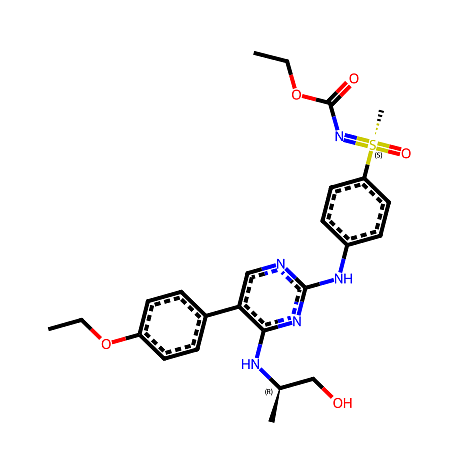 CCOC(=O)N=[S@@](C)(=O)c1ccc(Nc2ncc(-c3ccc(OCC)cc3)c(N[C@H](C)CO)n2)cc1